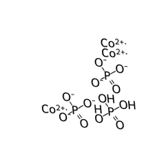 O=P(O)(O)O.O=P([O-])([O-])[O-].O=P([O-])([O-])[O-].[Co+2].[Co+2].[Co+2]